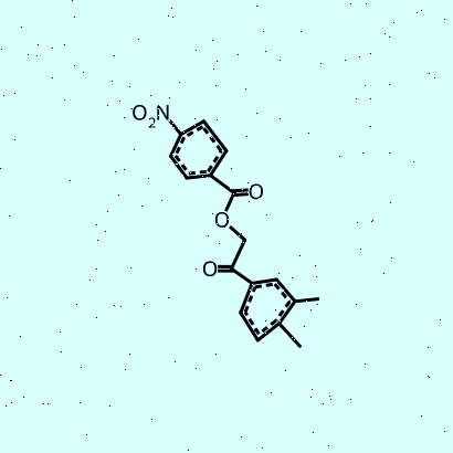 Cc1ccc(C(=O)COC(=O)c2ccc([N+](=O)[O-])cc2)cc1C